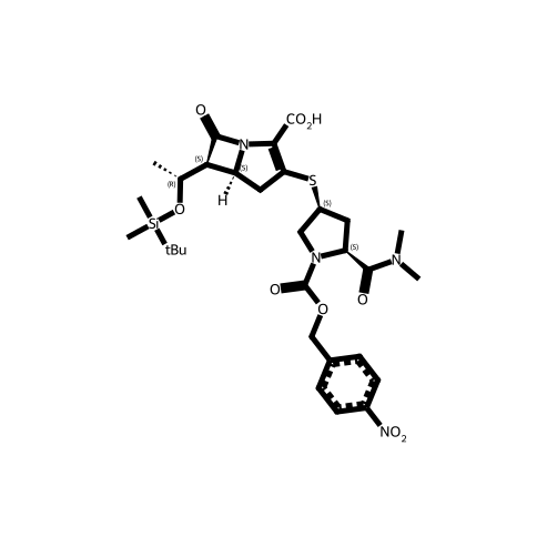 C[C@@H](O[Si](C)(C)C(C)(C)C)[C@H]1C(=O)N2C(C(=O)O)=C(S[C@H]3C[C@@H](C(=O)N(C)C)N(C(=O)OCc4ccc([N+](=O)[O-])cc4)C3)C[C@@H]12